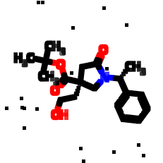 C[C@H](c1ccccc1)N1C[C@@](CCO)(C(=O)OC(C)(C)C)CC1=O